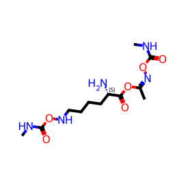 CNC(=O)ON=C(C)OC(=O)[C@@H](N)CCCCNOC(=O)NC